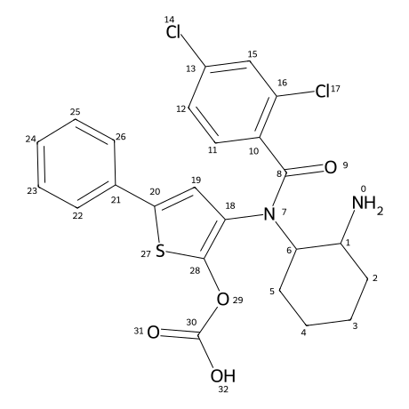 NC1CCCCC1N(C(=O)c1ccc(Cl)cc1Cl)c1cc(-c2ccccc2)sc1OC(=O)O